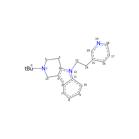 CC(C)(C)N1CCc2c(c3ccccc3n2CCc2cccnc2)C1